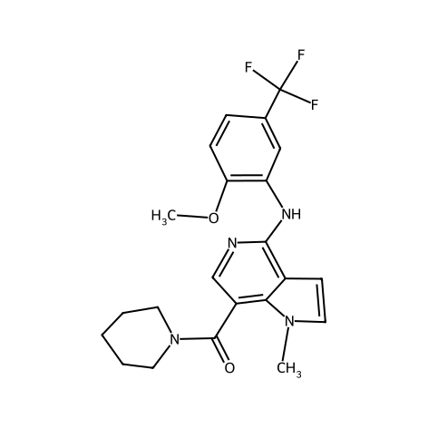 COc1ccc(C(F)(F)F)cc1Nc1ncc(C(=O)N2CCCCC2)c2c1ccn2C